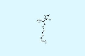 CCCCCCCC(C)N1CCC1